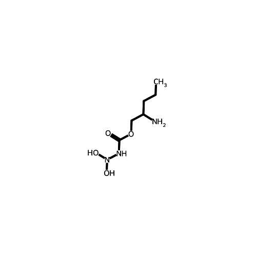 CCCC(N)COC(=O)NN(O)O